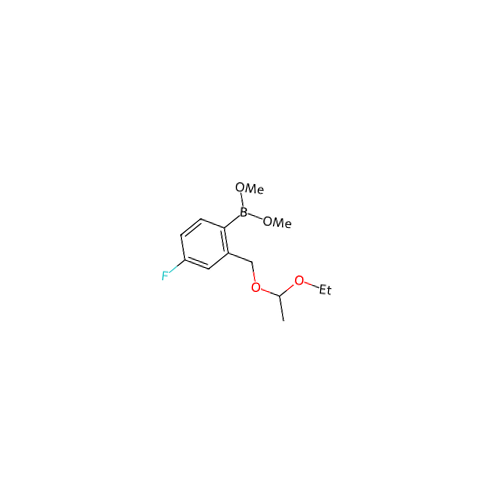 CCOC(C)OCc1cc(F)ccc1B(OC)OC